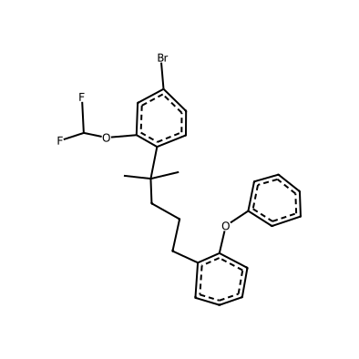 CC(C)(CCCc1ccccc1Oc1ccccc1)c1ccc(Br)cc1OC(F)F